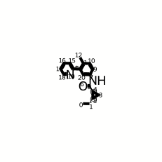 CC[C@H]1C[C@@H]1C(=O)Nc1ccc(C)c(-c2ccccn2)c1